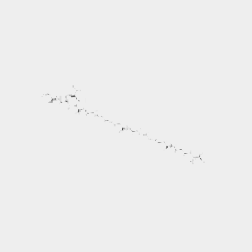 NC(=O)C(N)CCCCNC(=O)CCOCCOCCNC(=O)CCOCCOCCNC(=O)[C@H](CCCNC(=O)CBr)NC(=O)CBr